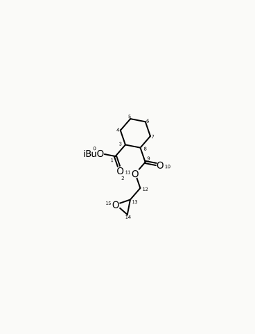 CC(C)COC(=O)C1CCCCC1C(=O)OCC1CO1